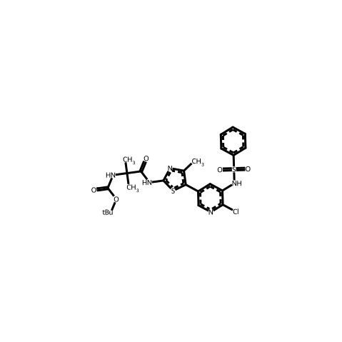 Cc1nc(NC(=O)C(C)(C)NC(=O)OC(C)(C)C)sc1-c1cnc(Cl)c(NS(=O)(=O)c2ccccc2)c1